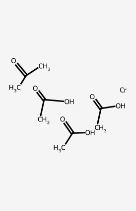 CC(=O)O.CC(=O)O.CC(=O)O.CC(C)=O.[Cr]